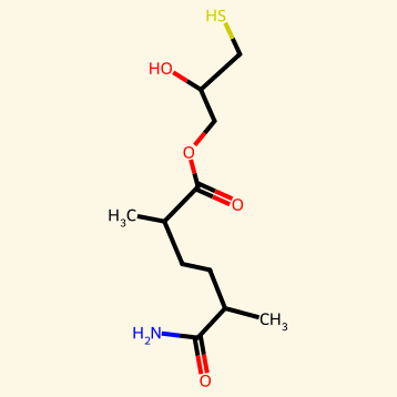 CC(CCC(C)C(=O)OCC(O)CS)C(N)=O